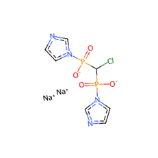 O=P([O-])(C(Cl)P(=O)([O-])n1ccnc1)n1ccnc1.[Na+].[Na+]